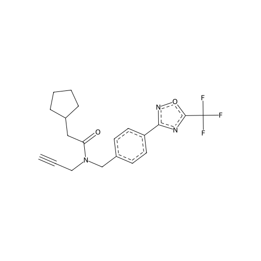 C#CCN(Cc1ccc(-c2noc(C(F)(F)F)n2)cc1)C(=O)CC1CCCC1